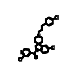 O=C(c1ccnc(Cl)c1)N1CC2(CCN(C/C=C/c3ccc(Cl)cc3)CC2)c2cc(Cl)ccc21